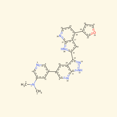 CN(C)c1cncc(-c2cnc3[nH]nc(-c4cc5c(-c6ccoc6)ccnc5[nH]4)c3c2)c1